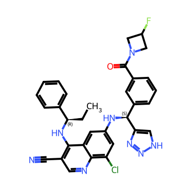 CC[C@@H](Nc1c(C#N)cnc2c(Cl)cc(N[C@@H](c3cccc(C(=O)N4CC(F)C4)c3)c3c[nH]nn3)cc12)c1ccccc1